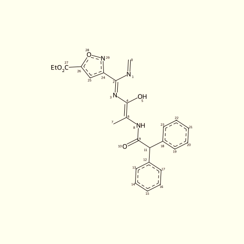 C=N/C(=N\C(O)=C(/C)NC(=O)C(c1ccccc1)c1ccccc1)c1cc(C(=O)OCC)on1